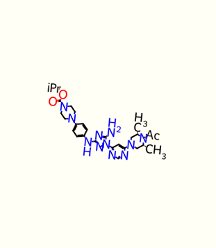 CC(=O)N1[C@H](C)CN(c2cc(-n3nc(Nc4ccc(N5CCN(C(=O)OC(C)C)CC5)cc4)nc3N)ncn2)C[C@@H]1C